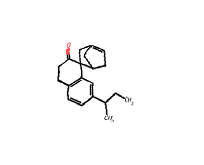 CCC(C)c1ccc2c(c1)C1(CC3=CCC1C3)C(=O)CC2